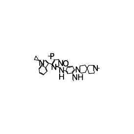 CNc1cc(Nc2ncc(P(C)C)c(-c3cn(C4CC4)c4ccccc34)n2)c(OC)cc1N1CCC2(CCN(C)CC2)CC1